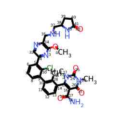 COc1nc(-c2cccc(-c3cccc(-c4c(C(N)=O)c(=O)n(C)c(=O)n4C)c3C)c2Cl)cnc1CNCC1CCC(=O)N1